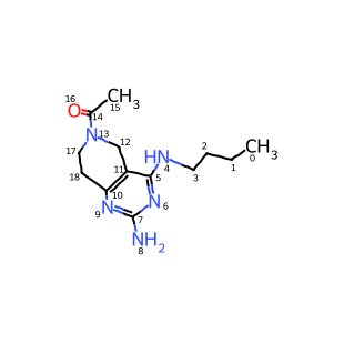 CCCCNc1nc(N)nc2c1CN(C(C)=O)CC2